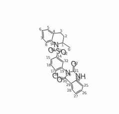 CC1CCc2ccccc2N1S(=O)(=O)c1ccc(Cl)c(-n2c(=O)[nH]c3ccccc3c2=O)c1